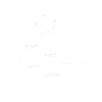 O=C(O)c1cc2c(-c3cccs3)nccc2[nH]c1=O